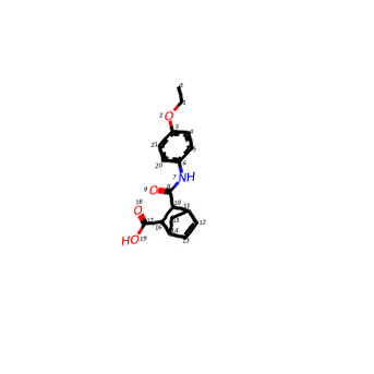 CCOc1ccc(NC(=O)C2C3C=CC(C3)C2C(=O)O)cc1